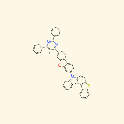 Cc1c(-c2ccccc2)nc(-c2ccccc2)nc1-c1ccc2c(c1)oc1cc(-n3c4ccccc4c4c5c(ccc43)sc3ccccc35)ccc12